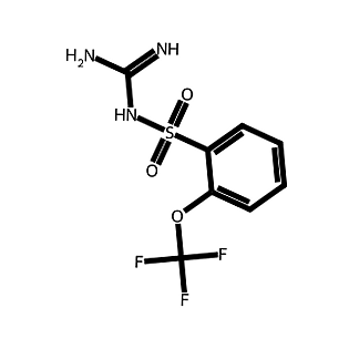 N=C(N)NS(=O)(=O)c1ccccc1OC(F)(F)F